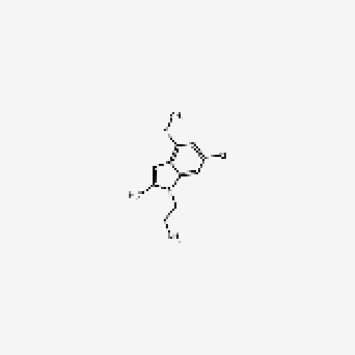 COc1cc(Cl)cc2c1cc(C)n2CCN